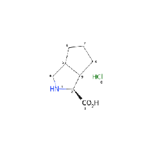 Cl.O=C(O)[C@H]1NCC2CCCC21